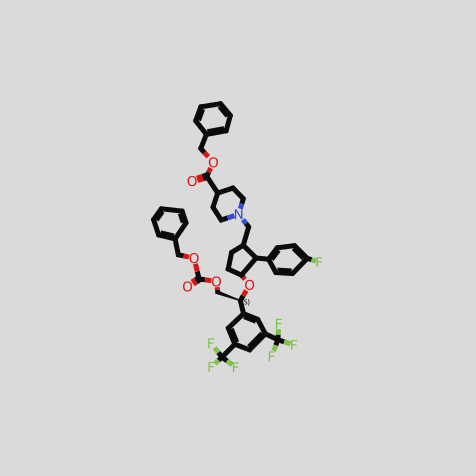 O=C(OCc1ccccc1)OC[C@@H](OC1CCC(CN2CCC(C(=O)OCc3ccccc3)CC2)C1c1ccc(F)cc1)c1cc(C(F)(F)F)cc(C(F)(F)F)c1